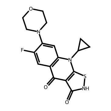 O=c1[nH]sc2c1c(=O)c1cc(F)c(N3CCOCC3)cc1n2C1CC1